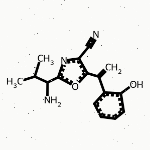 C=C(c1ccccc1O)c1oc(C(N)C(C)C)nc1C#N